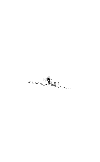 CCCCCCCCNCC(O)CN(CCS(=O)(=O)O)CC(O)CNCCCCCCCC